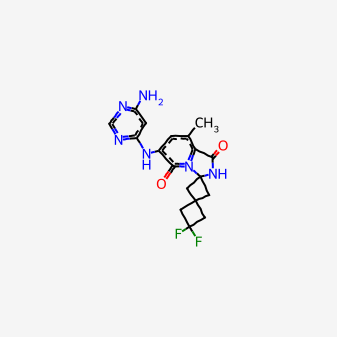 Cc1cc(Nc2cc(N)ncn2)c(=O)n2c1C(=O)NC21CC2(CC(F)(F)C2)C1